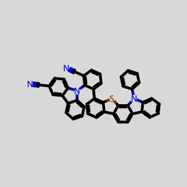 N#Cc1ccc2c(c1)c1ccccc1n2-c1c(C#N)cccc1-c1cccc2c1sc1c2ccc2c3ccccc3n(-c3ccccc3)c21